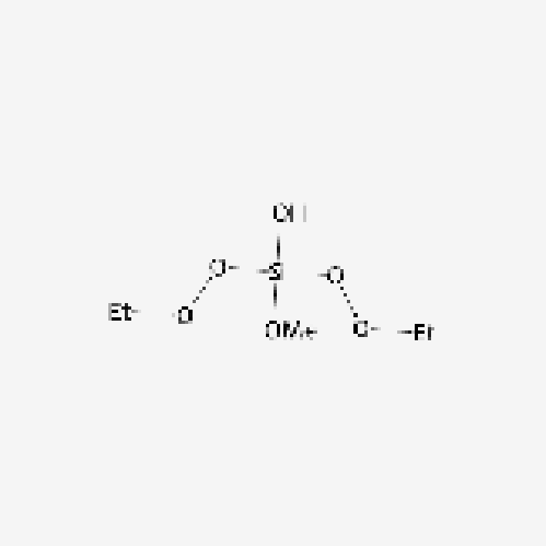 CCOO[Si](O)(OC)OOCC